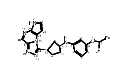 FC(F)Oc1cccc(N[C@H]2CC[C@@H](c3nnc4cnc5[nH]ccc5n34)C2)c1